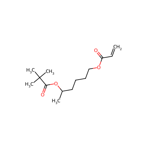 C=CC(=O)OCCCCC(C)OC(=O)C(C)(C)C